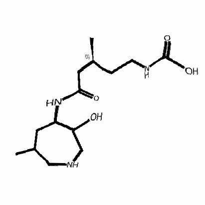 CC1CNCC(O)C(NC(=O)C[C@@H](C)CCNC(=O)O)C1